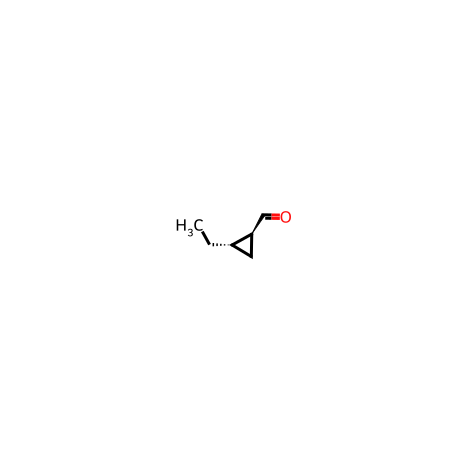 CC[C@H]1C[C@@H]1C=O